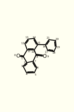 O=C1c2ccccc2C(=O)c2c1cccc2-c1[c]cccc1